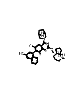 CN1CCC[C@@]2(COc3nc(N4CC5CCC(C4)N5)c4cc(Cl)c(-c5cc(O)cc6ccccc56)c(F)c4n3)CCC[C@@H]12